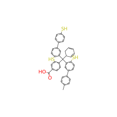 Cc1ccc(-c2ccc(S)c(C(c3ccc(C(=O)O)cc3)(c3cc(-c4ccc(S)cc4)ccc3S)C3C=CC=CC3)c2)cc1